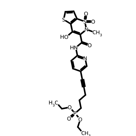 CCOP(=O)(CCCC#Cc1ccc(NC(=O)C2=C(O)c3sccc3S(=O)(=O)N2C)nc1)OCC